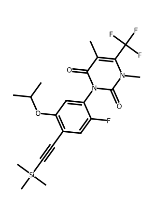 Cc1c(C(F)(F)F)n(C)c(=O)n(-c2cc(OC(C)C)c(C#C[Si](C)(C)C)cc2F)c1=O